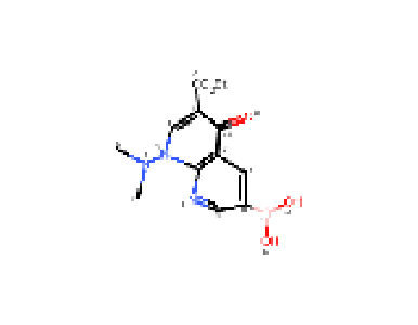 CCOC(=O)c1cn(N(C)C)c2ncc(B(O)O)cc2c1=O